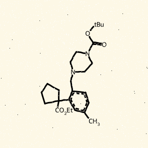 CCOC(=O)C1(c2cc(C)ccc2CN2CCN(C(=O)OC(C)(C)C)CC2)CCCC1